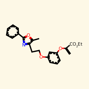 C=C(Oc1cccc(OCCc2nc(-c3ccccc3)oc2C)c1)C(=O)OCC